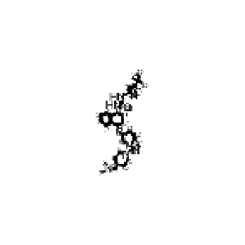 CN(C)CC1CCN(c2nnc3ccc(O[C@@H]4CC[C@H](NC(=O)Nc5cc(C(C)(C)C)on5)c5ccccc54)cn23)CC1